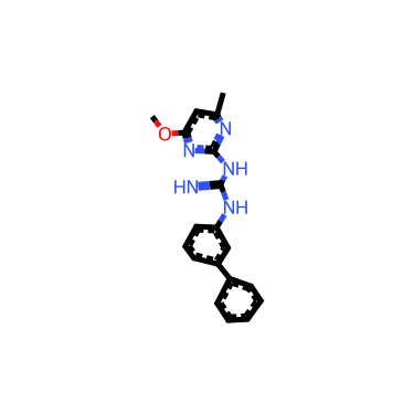 COc1cc(C)nc(NC(=N)Nc2cccc(-c3ccccc3)c2)n1